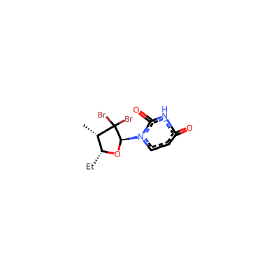 CC[C@H]1O[C@H](n2ccc(=O)[nH]c2=O)C(Br)(Br)[C@H]1C